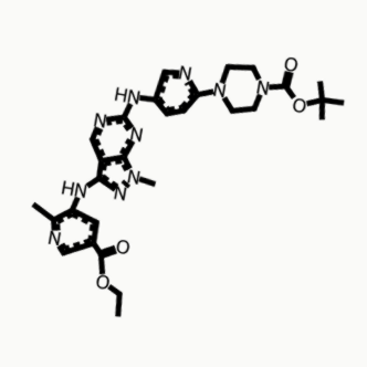 CCOC(=O)c1cnc(C)c(Nc2nn(C)c3nc(Nc4ccc(N5CCN(C(=O)OC(C)(C)C)CC5)nc4)ncc23)c1